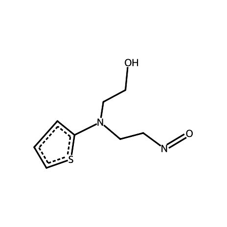 O=NCCN(CCO)c1cccs1